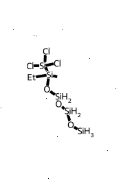 CC[Si](C)(O[SiH2]O[SiH2]O[SiH3])[Si](Cl)(Cl)Cl